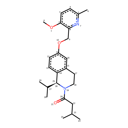 COc1ccc(C)nc1COc1ccc2c(c1)CCN(C(=O)CC(C)C)[C@H]2C(C)C